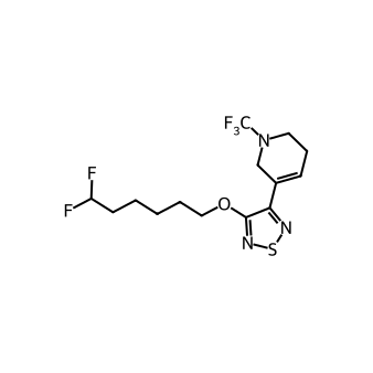 FC(F)CCCCCOc1nsnc1C1=CCCN(C(F)(F)F)C1